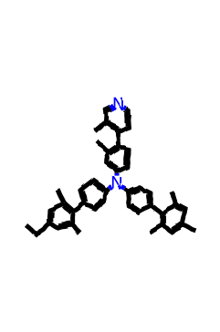 CCc1cc(C)c(-c2ccc(N(c3ccc(-c4c(C)cc(C)cc4C)cc3)c3ccc(-c4ccncc4C)c(C)c3)cc2)c(C)c1